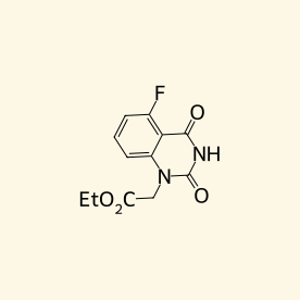 CCOC(=O)Cn1c(=O)[nH]c(=O)c2c(F)cccc21